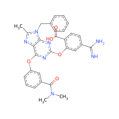 Cc1nc2c(Oc3cccc(C(=O)N(C)C)c3)nc(Oc3cc(C(=N)N)ccc3C(=O)O)nc2n1Cc1ccccc1